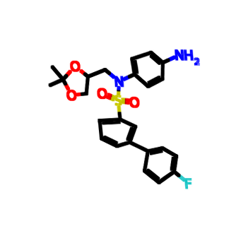 CC1(C)OCC(CN(c2ccc(N)cc2)S(=O)(=O)c2cccc(-c3ccc(F)cc3)c2)O1